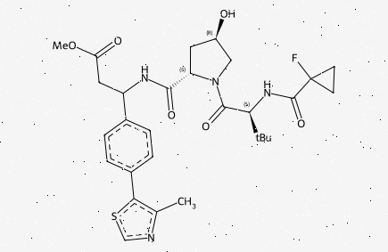 COC(=O)CC(NC(=O)[C@@H]1C[C@@H](O)CN1C(=O)[C@@H](NC(=O)C1(F)CC1)C(C)(C)C)c1ccc(-c2scnc2C)cc1